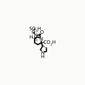 O=C1N(OS(=O)(=O)O)[C@@H]2CC[C@@](C(=O)O)([C@@H]3CCNC3)N1C2